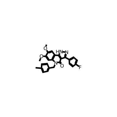 COc1cc2c3[nH]nc(-c4ccc(F)cc4)c3c(=O)n(Cc3ccc(C)cc3)c2cc1OC